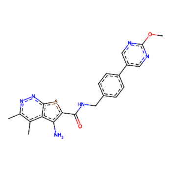 COc1ncc(-c2ccc(CNC(=O)c3sc4nnc(C)c(C)c4c3N)cc2)cn1